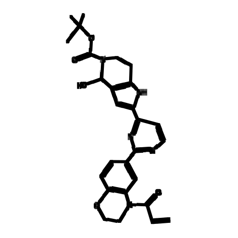 C=CC(=O)N1CCOc2ccc(-c3nccc(-c4cc5c([nH]4)CCN(C(=O)OC(C)(C)C)C5O)n3)cc21